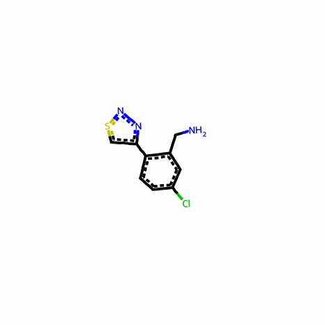 NCc1cc(Cl)ccc1-c1csnn1